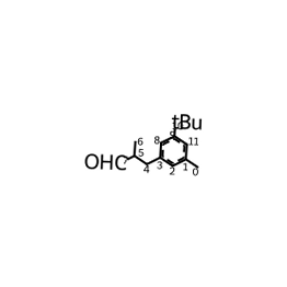 Cc1cc(CC(C)C=O)cc(C(C)(C)C)c1